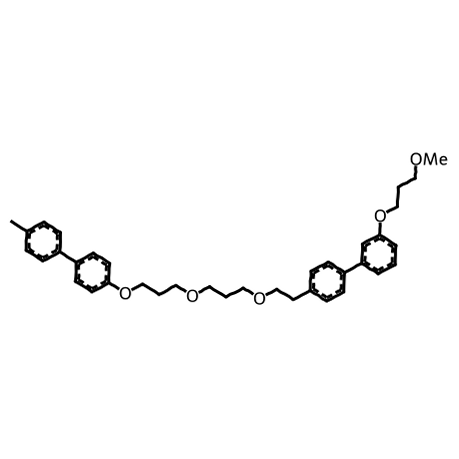 COCCCOc1cccc(-c2ccc(CCOCCCOCCCOc3ccc(-c4ccc(C)cc4)cc3)cc2)c1